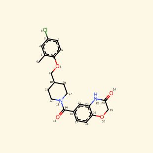 Cc1cc(Cl)ccc1OCC1CCN(C(=O)c2ccc3c(c2)NC(=O)CO3)CC1